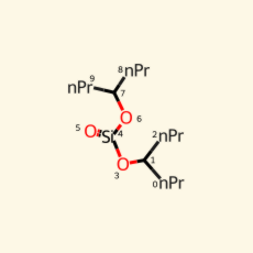 CCCC(CCC)O[Si](=O)OC(CCC)CCC